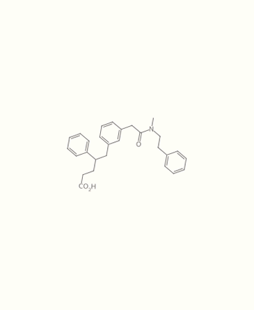 CN(CCc1ccccc1)C(=O)Cc1cccc(CC(CCC(=O)O)c2ccccc2)c1